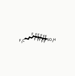 O=S(=O)(O)C(F)(F)C(F)(F)C(F)(F)C(F)(F)C(F)(F)C(F)CCCCC(F)(F)F